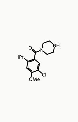 COc1cc(C(C)C)c(C(=O)N2CCNCC2)cc1Cl